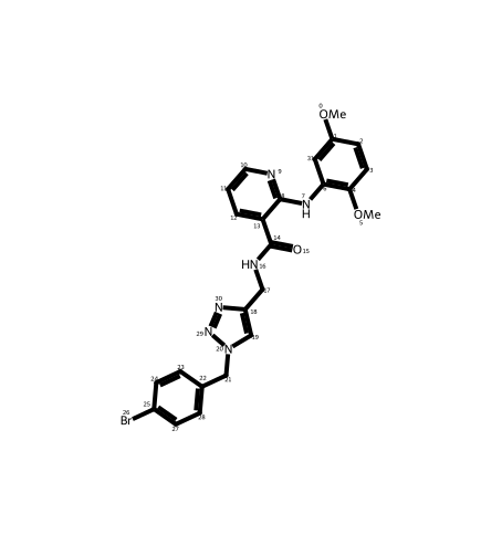 COc1ccc(OC)c(Nc2ncccc2C(=O)NCc2cn(Cc3ccc(Br)cc3)nn2)c1